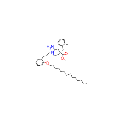 CCCCCCCCCCCCCCOc1ccccc1CCCN1CC[C@](Cc2ccccc2C)(C(=O)OC)C[C@@H]1N